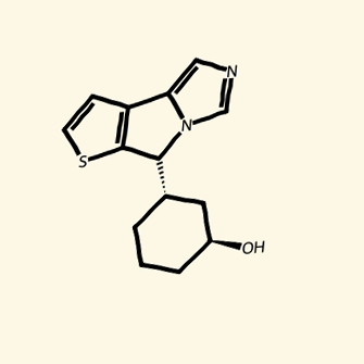 O[C@H]1CCC[C@H](C2c3sccc3-c3cncn32)C1